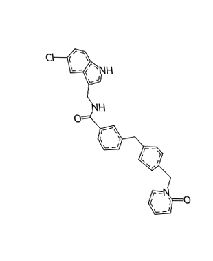 O=C(NCc1c[nH]c2ccc(Cl)cc12)c1cccc(Cc2ccc(Cn3ccccc3=O)cc2)c1